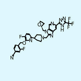 N#Cc1ccc(COc2nc(C3CCN(Cc4nc5cc(-c6nnc(C(F)(F)F)[nH]6)ncc5n4C[C@@H]4CCO4)CC3)ccc2F)c(F)c1